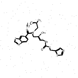 CC(C)CN(C[C@@H](O)CNC(=O)OCc1cncs1)C(=O)c1ccc2ncsc2c1